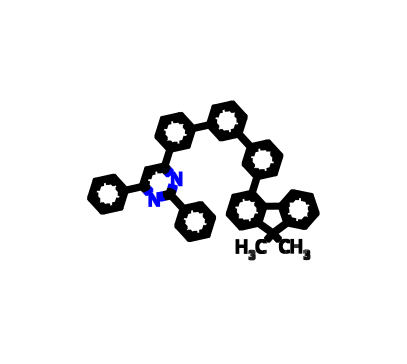 CC1(C)c2ccccc2-c2c(-c3cccc(-c4cccc(-c5cccc(-c6cc(-c7ccccc7)nc(-c7ccccc7)n6)c5)c4)c3)cccc21